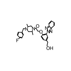 CC1CN(C(=O)COc2ccc(CCO)cc2-n2nc3ccccc3n2)C(C)CN1Cc1ccc(F)cc1